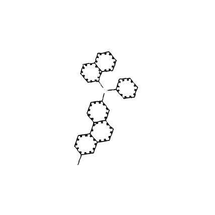 Cc1ccc2c(ccc3cc(N(c4ccccc4)c4cccc5ccccc45)ccc32)c1